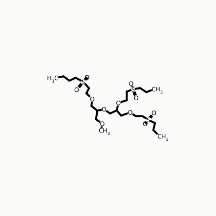 CCCCS(=O)(=O)CCOCC(COC)OCC(COCCS(=O)(=O)CCC)OCCS(=O)(=O)CCC